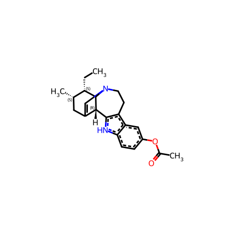 CC[C@@H]1C2[C@H]3C(=CN2CCc2c3[nH]c3ccc(OC(C)=O)cc23)C[C@@H]1C